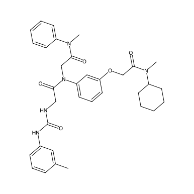 Cc1cccc(NC(=O)NCC(=O)N(CC(=O)N(C)c2ccccc2)c2cccc(OCC(=O)N(C)C3CCCCC3)c2)c1